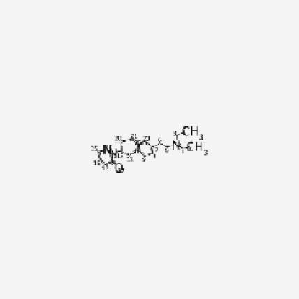 CCN(CC)CCc1ccc2cc(-n3ncccc3=O)ccc2c1